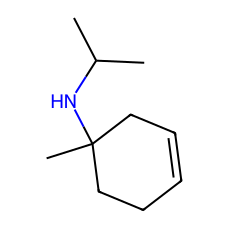 CC(C)NC1(C)CC=CCC1